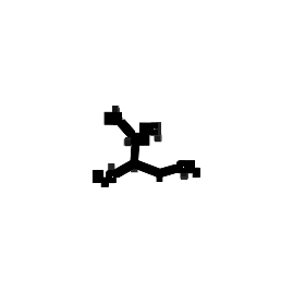 CCC(C)NS.Cl